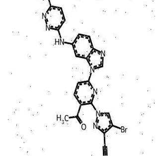 CC(=O)c1ccc(-n2cnc3ccc(Nc4ccc(C)nn4)cc32)nc1-n1cc(Br)c(C#N)n1